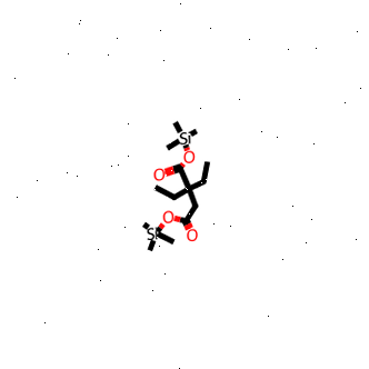 CCC(CC)(CC(=O)O[Si](C)(C)C)C(=O)O[Si](C)(C)C